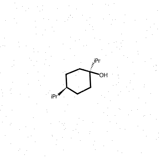 CC(C)[C@H]1CC[C@](O)(C(C)C)CC1